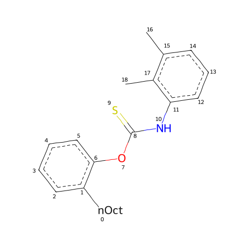 CCCCCCCCc1ccccc1OC(=S)Nc1cccc(C)c1C